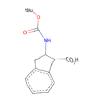 CC(C)(C)OC(=O)NC1Cc2ccccc2[C@H]1C(=O)O